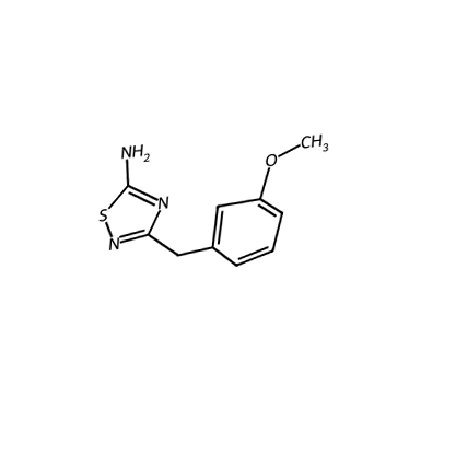 COc1cccc(Cc2nsc(N)n2)c1